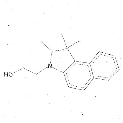 CC1N(CCO)c2ccc3ccccc3c2C1(C)C